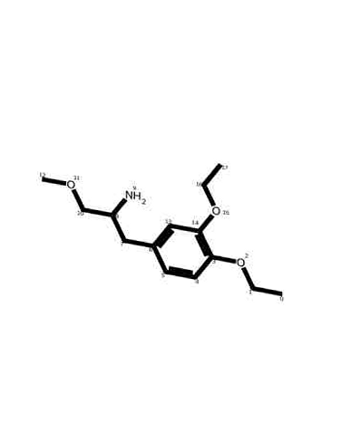 CCOc1ccc(CC(N)COC)cc1OCC